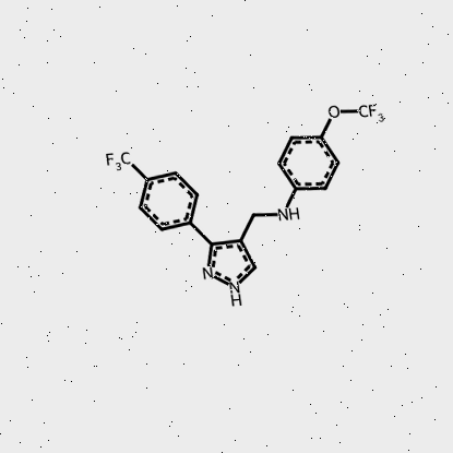 FC(F)(F)Oc1ccc(NCc2c[nH]nc2-c2ccc(C(F)(F)F)cc2)cc1